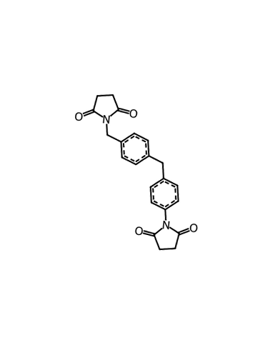 O=C1CCC(=O)N1Cc1ccc(Cc2ccc(N3C(=O)CCC3=O)cc2)cc1